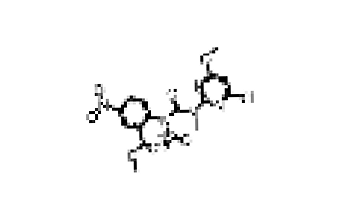 COC(=O)c1cc([N+](=O)[O-])ccc1N(C(=O)Nc1nc(Cl)cc(OC)n1)[SH](=O)=O